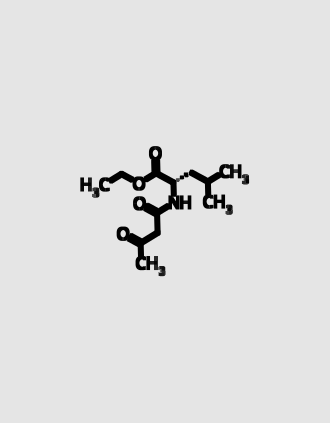 CCOC(=O)[C@H](CC(C)C)NC(=O)CC(C)=O